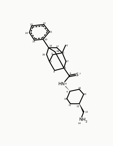 CC12CC3CC(C(=S)N[C@H]4CC[C@H](CN)CC4)(C1)CC(c1ccccc1)(C3)C2